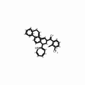 Cc1c(C(=O)C2C=c3c(ccc4c3=CCc3ccccc3-4)C(C3=CC=CC=CN3)C2)cccc1C(F)(F)F